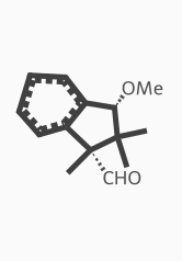 CO[C@H]1c2ccccc2[C@@](C)(C=O)C1(C)C